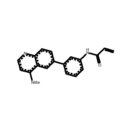 C=CC(=O)Nc1cccc(-c2ccc3nccc(NC)c3c2)c1